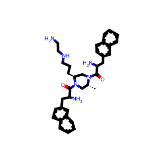 C[C@@H]1CN(C(=O)C(N)Cc2ccc3ccccc3c2)[C@@H](CCCNCCN)CN1C(=O)C(N)Cc1ccc2ccccc2c1